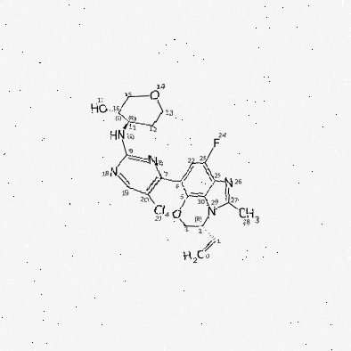 C=C[C@@H]1COc2c(-c3nc(N[C@@H]4CCOC[C@H]4O)ncc3Cl)cc(F)c3nc(C)n1c23